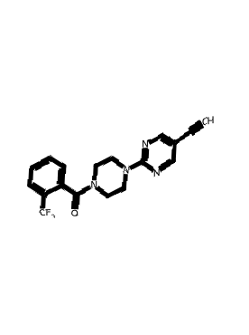 C#Cc1cnc(N2CCN(C(=O)c3ccccc3C(F)(F)F)CC2)nc1